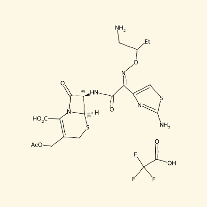 CCC(CN)ON=C(C(=O)N[C@@H]1C(=O)N2C(C(=O)O)=C(COC(C)=O)CS[C@H]12)c1csc(N)n1.O=C(O)C(F)(F)F